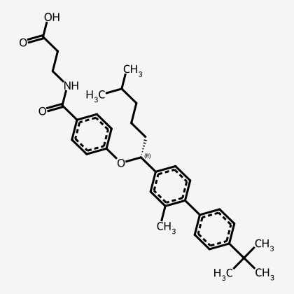 Cc1cc([C@@H](CCCC(C)C)Oc2ccc(C(=O)NCCC(=O)O)cc2)ccc1-c1ccc(C(C)(C)C)cc1